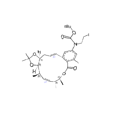 Cc1cc(N(CCI)C(=O)OC(C)(C)C)cc2c1C(=O)O[C@@H](C)[C@H](C)/C=C\[C@@H](C)[C@H]1OC(C)(C)O[C@H]1C/C=C/2